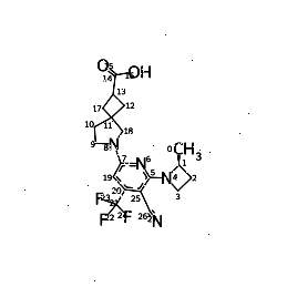 C[C@H]1CCN1c1nc(N2CCC3(CC(C(=O)O)C3)C2)cc(C(F)(F)F)c1C#N